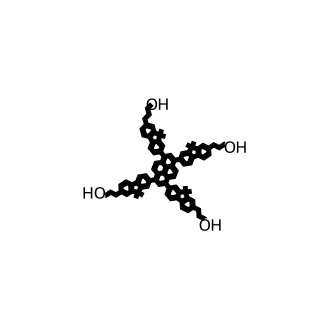 CC1(C)c2cc(CCCO)ccc2-c2ccc(-c3cc(-c4ccc5c(c4)C(C)(C)c4cc(CCCO)ccc4-5)c4ccc5c(-c6ccc7c(c6)C(C)(C)c6cc(CCCO)ccc6-7)cc(-c6ccc7c(c6)C(C)(C)c6cc(CCCO)ccc6-7)c6ccc3c4c65)cc21